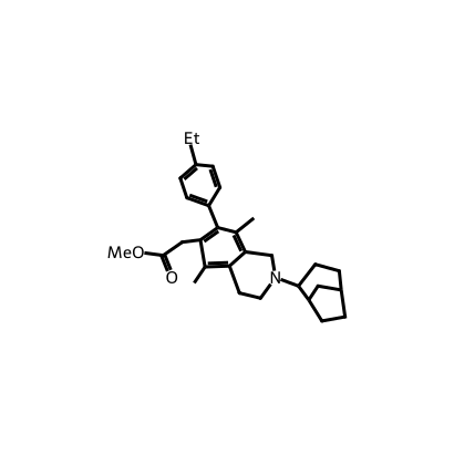 CCc1ccc(-c2c(C)c3c(c(C)c2CC(=O)OC)CCN(C2CCC4CCC2C4)C3)cc1